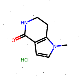 Cl.Cn1ccc2c1CCNC2=O